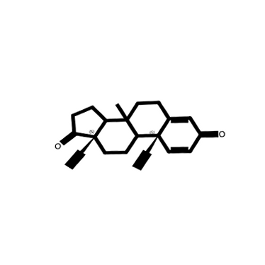 C#C[C@]12C=CC(=O)C=C1CCC1(C)C2CC[C@]2(C#C)C(=O)CCC12